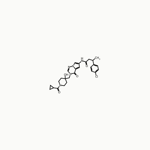 CC(CC(=O)Nc1cc2c(=O)n(CC3(O)CCN(C(=O)C4CC4)CC3)cnn2c1)c1ccc(Cl)cc1